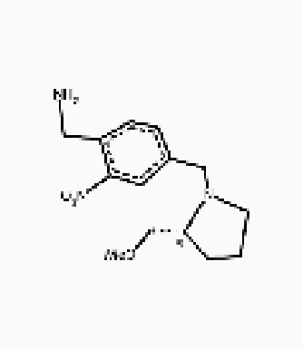 COC[C@H]1CCCN1Cc1ccc(CN)c([N+](=O)[O-])c1